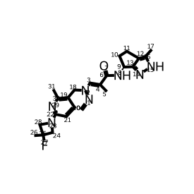 C=NN(/C=C(\C)C(=O)N[C@@H]1CCc2c1n[nH]c2C)Cc1ccc(N2CC(C)(F)C2)nc1C